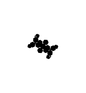 CC(C)(C)Oc1ccc(N(c2ccc(C(C)(C)C)cc2)c2ccc3c4c(-c5ccccc5)c5c6cccc7c(N(c8ccc(OC(C)(C)C)cc8)c8ccc(C(C)(C)C)cc8)ccc(c5c(-c5ccccc5)c4c4cccc2c43)c76)cc1